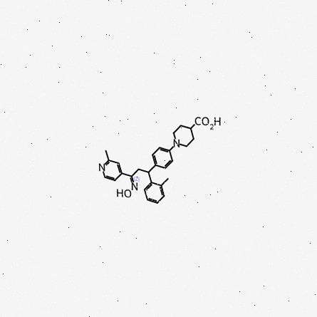 Cc1cc(/C(CC(c2ccc(N3CCC(C(=O)O)CC3)cc2)c2ccccc2C)=N\O)ccn1